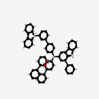 c1ccc(-c2cc(N(c3ccc(-c4cccc(-n5c6ccccc6c6ccccc65)c4)cc3)c3ccc(-c4cccc5cccc(-c6ccccc6)c45)cc3)cc3c2oc2ccccc23)cc1